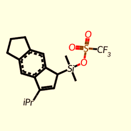 CC(C)C1=CC([Si](C)(C)OS(=O)(=O)C(F)(F)F)c2cc3c(cc21)CCC3